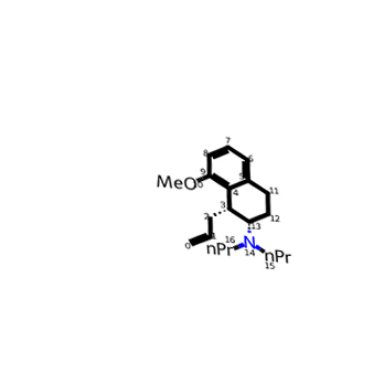 C=CC[C@@H]1c2c(cccc2OC)CC[C@@H]1N(CCC)CCC